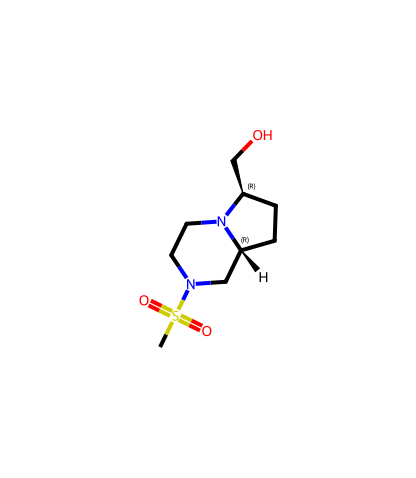 CS(=O)(=O)N1CCN2[C@H](CC[C@@H]2CO)C1